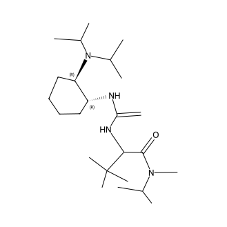 C=C(NC(C(=O)N(C)C(C)C)C(C)(C)C)N[C@@H]1CCCC[C@H]1N(C(C)C)C(C)C